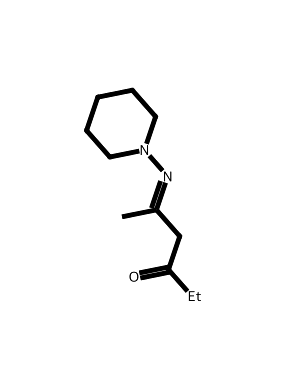 CCC(=O)C/C(C)=N/N1CCCCC1